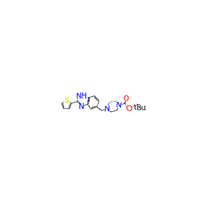 CC(C)(C)OC(=O)N1CCN(Cc2cccc(/N=C(\N)c3cccs3)c2)CC1